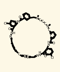 CN1CCCN(C)Cc2cccc(c2)C(=O)Nc2ccc(Cl)cc2C(=O)N/N=C/c2ccc(cc2)Cc2ccc(cc2)/C=N/NC(=O)c2cc(Cl)ccc2NC(=O)c2cccc(c2)C1